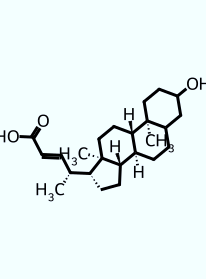 C[C@H](C=CC(=O)O)[C@H]1CC[C@H]2[C@@H]3CCC4CC(O)CC[C@]4(C)[C@H]3CC[C@]12C